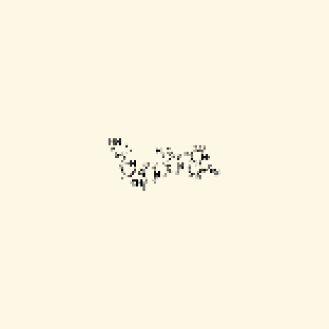 Cc1cnc(N2CCNCC2)nc1N1CCN(C[C@H]2CN(c3ccc(C#N)c4ncccc34)C[C@@H](C)O2)CC1